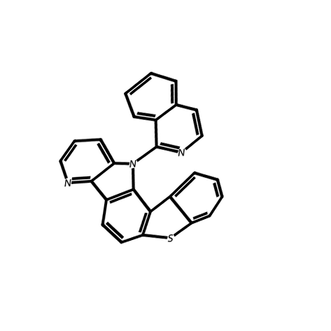 c1ccc2c(-n3c4cccnc4c4ccc5sc6ccccc6c5c43)nccc2c1